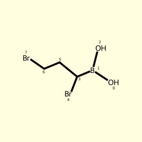 OB(O)C(Br)CCBr